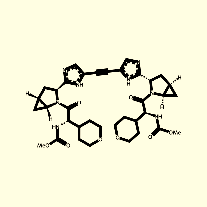 COC(=O)N[C@H](C(=O)N1[C@@H]2C[C@@H]2C[C@H]1c1ncc(C#Cc2cnc([C@@H]3C[C@H]4C[C@H]4N3C(=O)[C@@H](NC(=O)OC)C3CCOCC3)[nH]2)[nH]1)C1CCOCC1